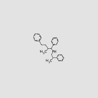 CC(CPC(c1ccccc1)C(C)CCc1ccccc1)c1ccccc1